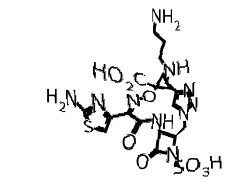 NCCCNCc1cn(C[C@@H]2[C@H](NC(=O)C(=NOC3(C(=O)O)CC3)c3csc(N)n3)C(=O)N2S(=O)(=O)O)nn1